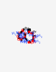 CCCCC(C)OC(=O)CCC(=O)N[C@@H](CCN)C(=O)N[C@H](C(=O)N[C@@H](CCN)C(=O)N[C@H]1CCNC(=O)[C@H](C(C)O)NC(=O)[C@H](CCN)NC(=O)[C@H](CCN)NC(=O)[C@H](CC(C)C)NC(=O)[C@@H](Cc2ccccc2)NC(=O)[C@H](CCN)NC1)C(C)O